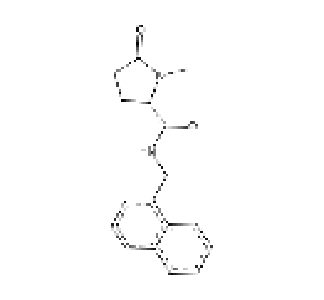 CN1C(=O)CC[C@H]1C(=O)NCc1cccc2ccccc12